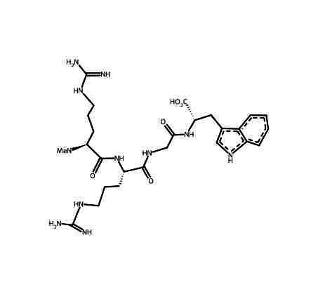 CN[C@@H](CCCNC(=N)N)C(=O)N[C@@H](CCCNC(=N)N)C(=O)NCC(=O)N[C@@H](Cc1c[nH]c2ccccc12)C(=O)O